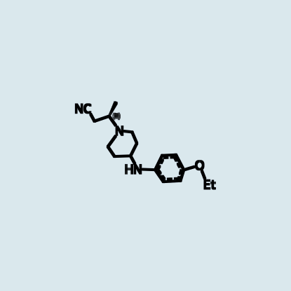 CCOc1ccc(NC2CCN([C@H](C)CC#N)CC2)cc1